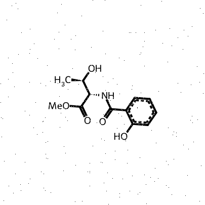 COC(=O)[C@@H](NC(=O)c1ccccc1O)[C@@H](C)O